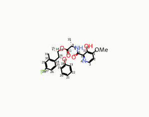 COc1ccnc(C(=O)N[C@@H](C)C(=O)O[C@@H](C)[C@H](Oc2ccccc2)c2ccc(F)cc2C)c1O